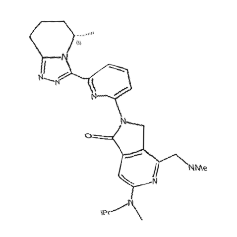 CNCc1nc(N(C)C(C)C)cc2c1CN(c1cccc(-c3nnc4n3[C@@H](C)CCC4)n1)C2=O